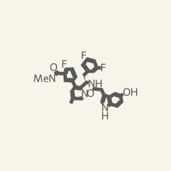 CNC(=O)c1cc(-c2cc(C)cnc2[C@H](Cc2cc(F)cc(F)c2)NC(=O)Cc2c[nH]c3ccc(O)cc23)ccc1F